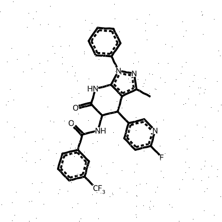 Cc1nn(-c2ccccc2)c2c1C(c1ccc(F)nc1)C(NC(=O)c1cccc(C(F)(F)F)c1)C(=O)N2